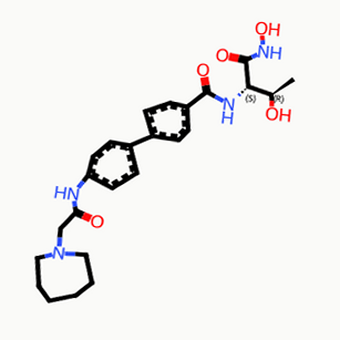 C[C@@H](O)[C@H](NC(=O)c1ccc(-c2ccc(NC(=O)CN3CCCCCC3)cc2)cc1)C(=O)NO